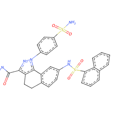 NC(=O)c1nn(-c2ccc(S(N)(=O)=O)cc2)c2c1CCc1ccc(NS(=O)(=O)c3cccc4ccccc34)cc1-2